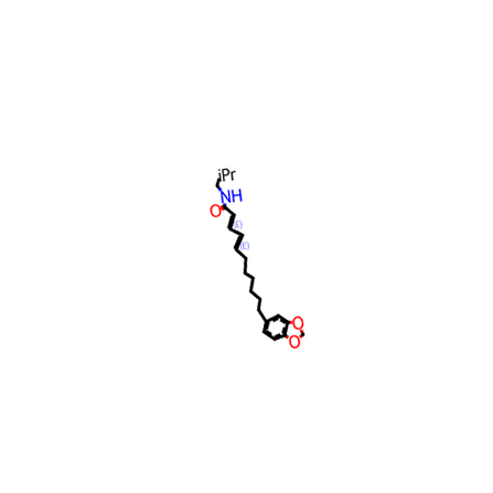 CC(C)CNC(=O)/C=C/C=C/CCCCCCc1ccc2c(c1)OCO2